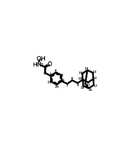 O=C(Cc1ccc(CCCC23CC4CC(CC(C4)C2)C3)cc1)NO